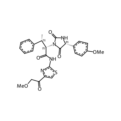 COCC(=O)c1csc(NC(=O)[C@H]([C@@H](C)c2ccccc2)N2C(=O)N[C@H](c3ccc(OC)cc3)C2=O)n1